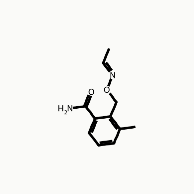 CC=NOCc1c(C)cccc1C(N)=O